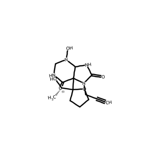 C#CCN1C(=O)NC2N(O)CNC(=O)C21C1([C@H](C)O)CCCO1